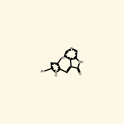 CC(C)c1cc(C(C)C)c(C=C2C(=O)Nc3cnccc32)[nH]1